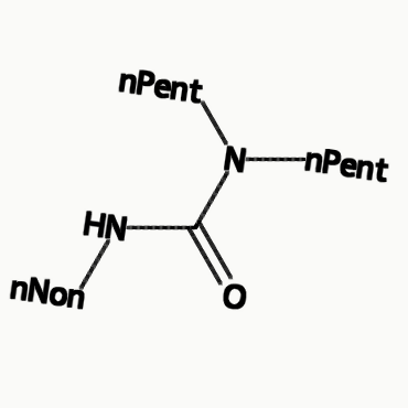 CCCCCCCCCNC(=O)N(CCCCC)CCCCC